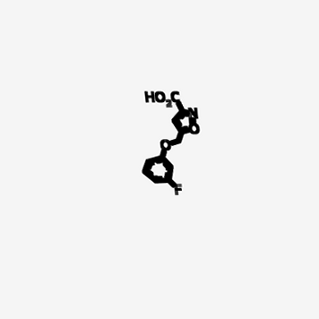 O=C(O)c1cc(COc2cccc(F)c2)on1